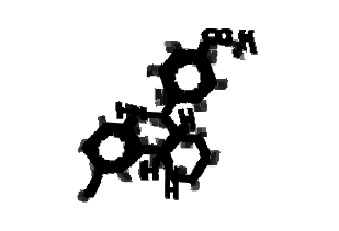 Cc1ccc2c(c1)[C@@H]1NCCC[C@H]1[C@H](c1ccc(C(=O)O)cc1)N2